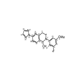 COc1cc(F)nc(N2CCc3nc(-n4nccn4)ncc3C2C)c1